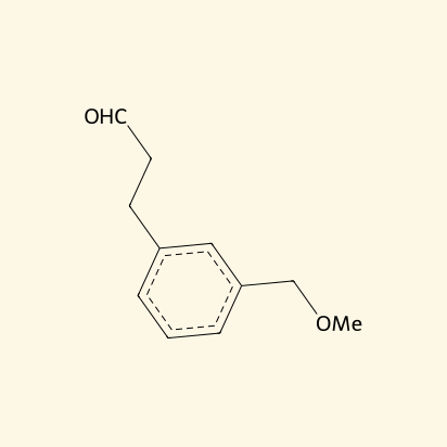 COCc1cccc(CCC=O)c1